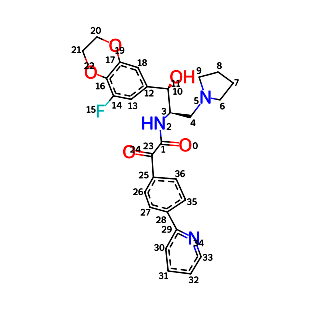 O=C(N[C@H](CN1CCCC1)[C@H](O)c1cc(F)c2c(c1)OCCO2)C(=O)c1ccc(-c2ccccn2)cc1